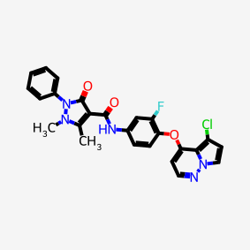 Cc1c(C(=O)Nc2ccc(Oc3ccnn4ccc(Cl)c34)c(F)c2)c(=O)n(-c2ccccc2)n1C